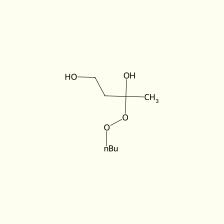 CCCCOOC(C)(O)CCO